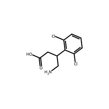 NCC(CC(=O)O)c1c(Cl)cccc1Cl